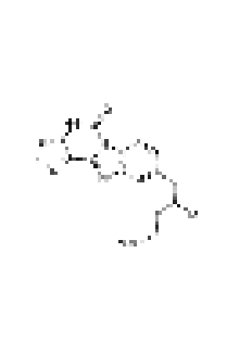 CCN(CCOC)Cc1ccc2c(c1)nc1c3n[nH]cc3[nH]c(=O)n21